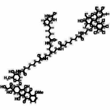 COc1cccc2c1C(=O)c1c(O)c3c(c(O)c1C2=O)C[C@@](O)(C(=O)CO)C[C@@H]3O[C@H]1C[C@H](NC(=O)CCCCCCC(=O)NCCN(CCNC(=O)CCCCCCC(=O)NCCOC(=O)c2c(Cl)c(Cl)c(Cl)c(Cl)c2-c2c3cc(I)c(=O)c(I)c-3oc3c(I)c(O)c(I)cc23)CCNC(=O)CCCCC2SCC3NC(=O)NC32)[C@H](O)[C@H](C)O1